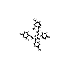 O=S(=O)(C(C=Cc1ccc(Cl)cc1Cl)c1ccc(Cl)cc1)C(C=Cc1ccc(Cl)cc1Cl)c1ccc(Cl)cc1